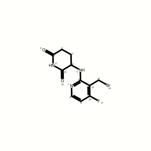 O=C1CCC(Nc2nccc(F)c2CBr)C(=O)N1